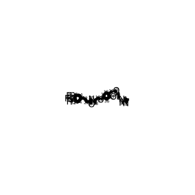 O=S(=O)(CCn1ccnn1)Cc1ccc(OCc2coc(C=Cc3ccc(S(F)(F)(F)(F)F)cc3)n2)cc1